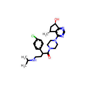 CC(C)NCCC(C(=O)N1CCN(c2ncnc3c2[C@H](C)C[C@H]3O)CC1)c1ccc(Cl)cc1